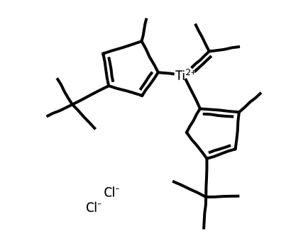 CC1=[C]([Ti+2]([C]2=CC(C(C)(C)C)=CC2C)=[C](C)C)CC(C(C)(C)C)=C1.[Cl-].[Cl-]